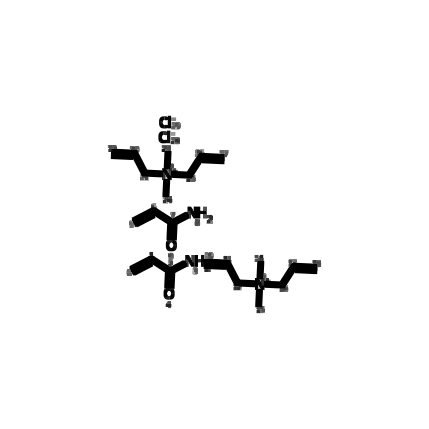 C=CC(N)=O.C=CC(N)=O.C=CC[N+](C)(C)CC=C.C=CC[N+](C)(C)CC=C.[Cl-].[Cl-]